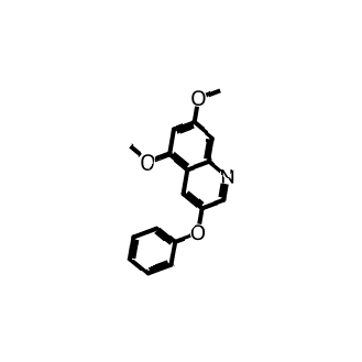 COc1cc(OC)c2cc(Oc3ccccc3)cnc2c1